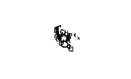 CO[C@H]1/C=C/C[C@H](C)CS(=O)(NC(=O)c2cnn(CC3CC3)c2)=NC(=O)c2ccc3c(c2)N(CCc2ccc(Cl)cc2CCCCO3)C[C@@H]2CC[C@H]21